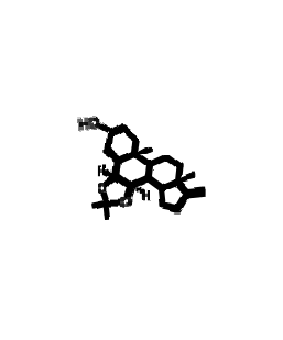 C=C1CCC2C3C(CC[C@]12C)[C@@]1(C)CC[C@H](O)CC1[C@H]1OC(C)(C)O[C@H]31